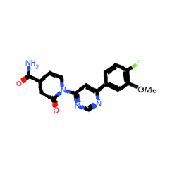 COc1cc(-c2cc(N3CCC(C(N)=O)CC3=O)ncn2)ccc1F